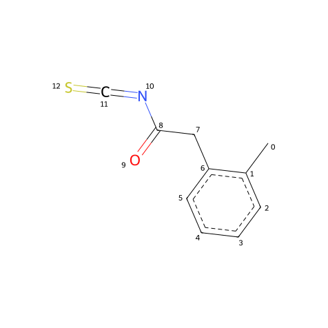 Cc1ccccc1CC(=O)N=C=S